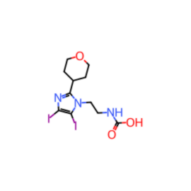 O=C(O)NCCn1c(C2CCOCC2)nc(I)c1I